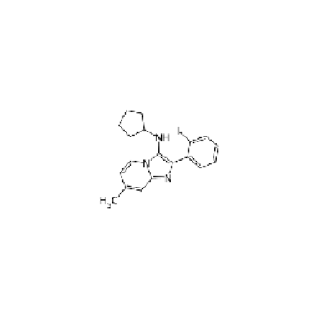 Cc1ccn2c(NC3CCCC3)c(-c3ccccc3I)nc2c1